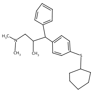 CC(CN(C)C)C(c1ccccc1)c1ccc(SC2CCCCC2)cc1